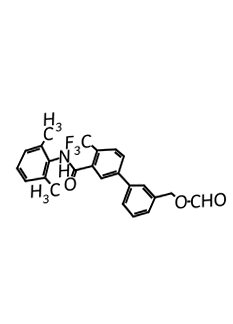 Cc1cccc(C)c1NC(=O)c1cc(-c2cccc(COC=O)c2)ccc1C(F)(F)F